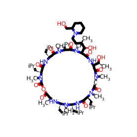 CC(C)C[C@@H]1C(=O)N[C@H](CC(C)C)C(=O)N(C)C(C(C)C)C(=O)N(C)C([C@H](O)[C@H](C)CCN2CCCCC2CO)C(=O)NC([C@@H](C)O)C(=O)N(C)CC(=O)N(C)[C@@H](CC(C)C)C(=O)N[C@H](CC(C)C)N(C)[C@H](CC(C)C)N[C@H](C)C(=O)OC(=O)N1C